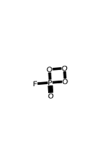 O=P1(F)OOO1